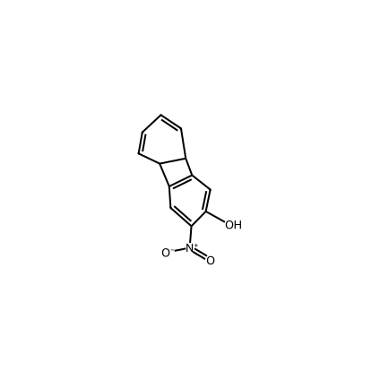 O=[N+]([O-])c1cc2c(cc1O)C1C=CC=CC21